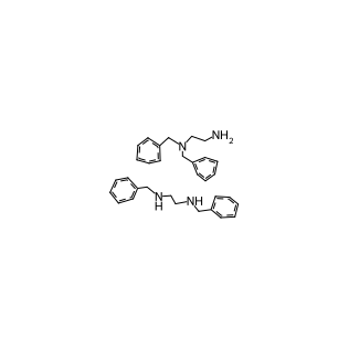 NCCN(Cc1ccccc1)Cc1ccccc1.c1ccc(CNCCNCc2ccccc2)cc1